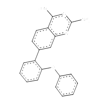 Nc1nc(N)c2ccc(-c3ccccc3Oc3ccccc3)cc2n1